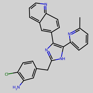 Cc1cccc(-c2[nH]c(Cc3ccc(Cl)c(N)c3)nc2-c2ccc3ncccc3c2)n1